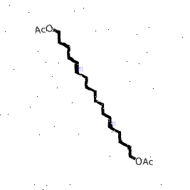 CC(=O)OCCCC/C=C/CCCCCC/C=C/CCCCOC(C)=O